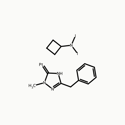 Cn1nc(Cc2ccccc2)[nH][c]1=[Pt].IN(I)C1CCC1